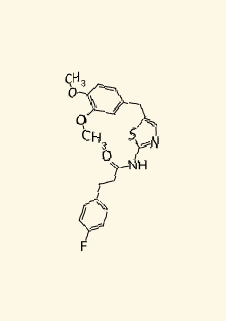 COc1ccc(Cc2cnc(NC(=O)CCc3ccc(F)cc3)s2)cc1OC